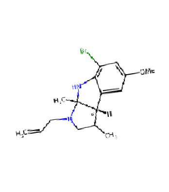 C=CCN1CC(C)[C@H]2c3cc(OC)cc(Br)c3NC21C